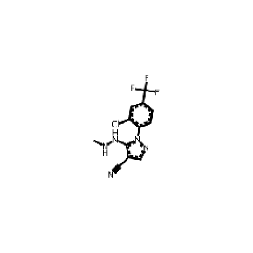 CNNc1c(C#N)cnn1-c1ccc(C(F)(F)F)cc1Cl